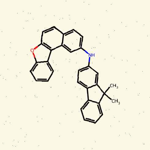 CC1(C)c2ccccc2-c2ccc(Nc3ccc4ccc5oc6ccccc6c5c4c3)cc21